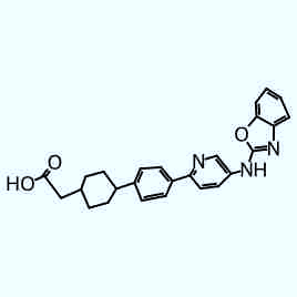 O=C(O)CC1CCC(c2ccc(-c3ccc(Nc4nc5ccccc5o4)cn3)cc2)CC1